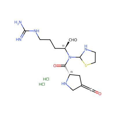 Cl.Cl.N=C(N)NCCC[C@@H](C=O)N(C(=O)[C@@H]1CC(=C=O)CN1)C1NCCS1